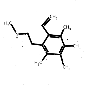 C=Cc1c(C)c(C)c(C)c(C)c1CCNC